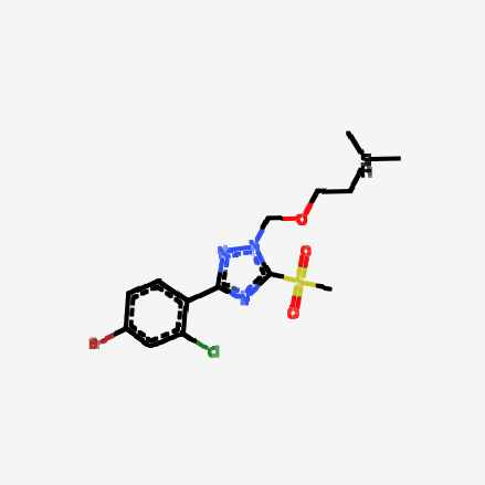 C[SiH](C)CCOCn1nc(-c2ccc(Br)cc2Cl)nc1S(C)(=O)=O